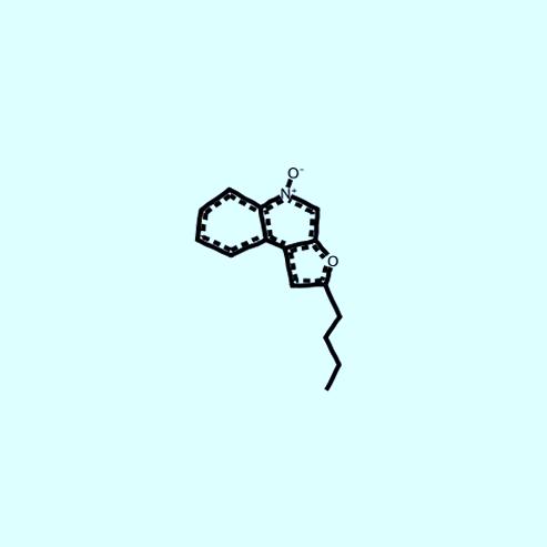 CCCCc1cc2c(c[n+]([O-])c3ccccc23)o1